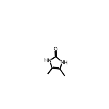 Cc1[nH]c(=O)[nH]c1C